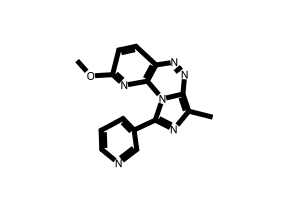 COc1ccc2nnc3c(C)nc(-c4cccnc4)n3c2n1